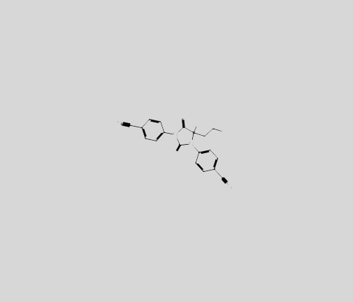 CCCC1(C)C(=O)N(c2ccc(C#N)cc2)C(=O)N1c1ccc(C#N)cc1